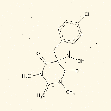 C=C1N(C)C(=O)C(Cc2ccc(Cl)cc2)(NO)C(=O)N1C